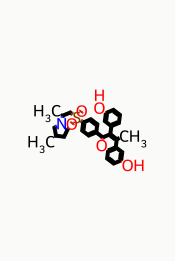 CC1=C(c2cccc(O)c2)C(c2ccc(S(=O)(=O)C[C@H](C)N3CC[C@@H](C)C3)cc2)Oc2ccc(O)cc21